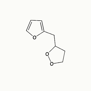 c1coc(CC2CCOO2)c1